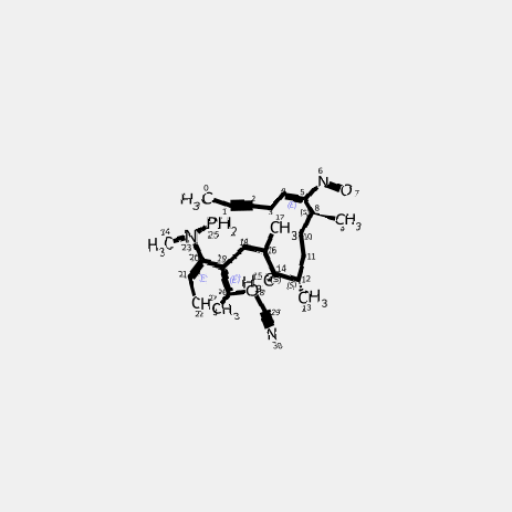 CC#CC/C=C(/N=O)[C@@H](C)CC[C@H](C)[C@H](C)C(C)CC(/C(=C\C)N(C)P)=C(/C)OC#N